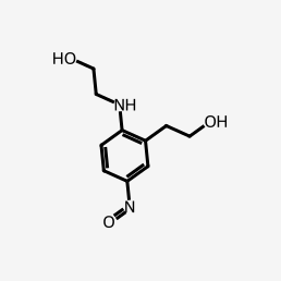 O=Nc1ccc(NCCO)c(CCO)c1